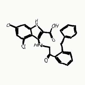 O=C(CNc1c(C(=O)O)[nH]c2cc(Cl)cc(Cl)c12)c1ccccc1Cc1ccccc1